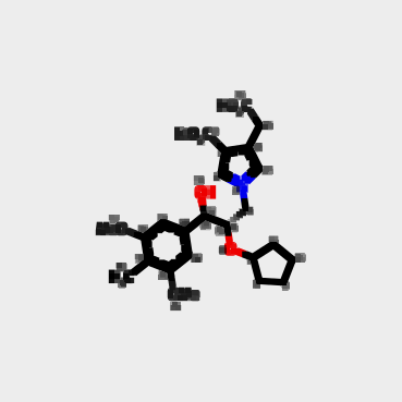 CCOC(=O)c1cn(C[C@H](OC2CCCC2)[C@H](O)c2cc(OC)c(C)c(OC)c2)cc1CC(=O)O